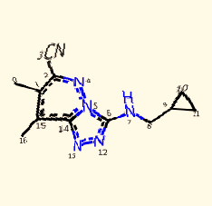 Cc1c(C#N)nn2c(NCC3CC3)nnc2c1C